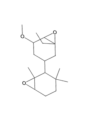 CCC12CC(C3C(C)(C)CCC4OC43C)CC(OC)C1O2